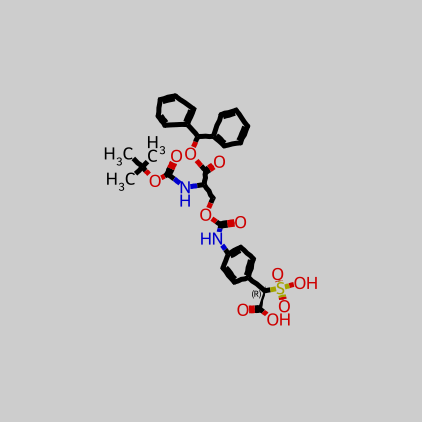 CC(C)(C)OC(=O)NC(COC(=O)Nc1ccc([C@H](C(=O)O)S(=O)(=O)O)cc1)C(=O)OC(c1ccccc1)c1ccccc1